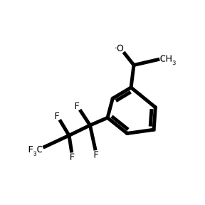 CC([O])c1cccc(C(F)(F)C(F)(F)C(F)(F)F)c1